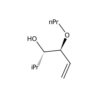 C=C[C@H](OCCC)[C@@H](O)C(C)C